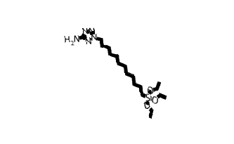 CCO[Si](CCCCCCCCCCCCn1nnc(N)n1)(OCC)OCC